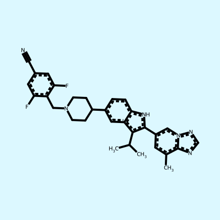 Cc1cc(-c2[nH]c3ccc(C4CCN(Cc5c(F)cc(C#N)cc5F)CC4)cc3c2C(C)C)cn2ncnc12